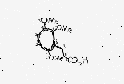 COc1ccc(OC)c(OC)c1CCC(=O)O